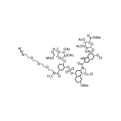 CCOc1cc2cc(C(=O)N3C[C@@H](CCl)c4c3cc(OS(=O)(=O)Oc3cc(C(=O)N(C)CCOCCOCCOCCN=[N+]=[N-])ccc3O[C@@H]3O[C@H](C(=O)OC)[C@@H](C)[C@H](OC(C)=O)[C@H]3OC(C)=O)c3ccc(OC)cc43)[nH]c2cc1OC1O[C@H](C(=O)OC)[C@@H](OC(C)=O)[C@H](OC(C)=O)[C@H]1OC(C)=O